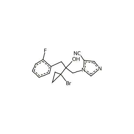 N#Cc1cncn1CC(O)(Cc1ccccc1F)C1(Br)CC1